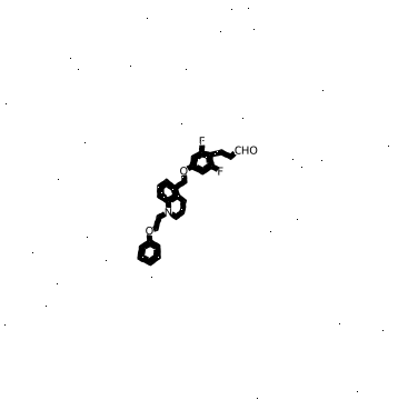 O=CCCc1c(F)cc(OCc2cccc3c2CCCN3CCOc2ccccc2)cc1F